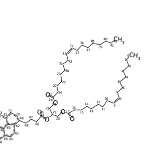 CCCCCCCC/C=C\CCCCCCCC(=O)OCC(COC(=O)CCCCCCC/C=C\CCCCCCCC)OC(=O)CCCc1ccc2ccc3cccc4ccc1c2c34